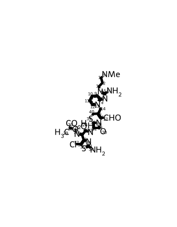 CNCCCn1c(N)nc2c1ccc[n+]2CC1=C(C=O)N2C(=O)C(NC(=O)/C(=N\O[C@@H](C)C(=O)O)c3nc(N)sc3Cl)C2SC1